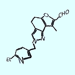 CCc1ccc(Cn2cc3c(n2)-c2c(oc(C=O)c2C)CC3)cn1